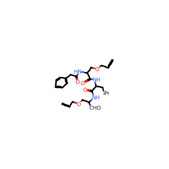 C=CCOCC(C=O)NC(=O)C(CC(C)C)NC(=O)C(COCC=C)NC(=O)Cc1ccccc1